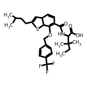 CCC(C)(C)C(NC(=O)C1=C(OCc2ccc(C(F)(F)F)cc2)C2SC(CCC(C)C)=CC2C=C1)C(=O)O